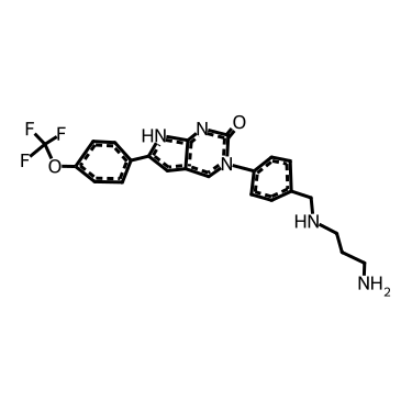 NCCCNCc1ccc(-n2cc3cc(-c4ccc(OC(F)(F)F)cc4)[nH]c3nc2=O)cc1